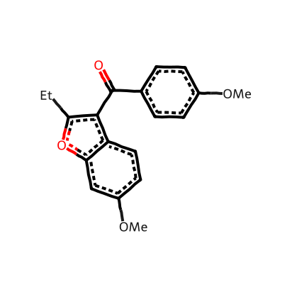 CCc1oc2cc(OC)ccc2c1C(=O)c1ccc(OC)cc1